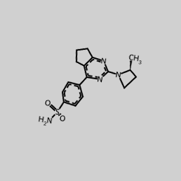 C[C@H]1CCN1c1nc2c(c(-c3ccc(S(N)(=O)=O)cc3)n1)CCC2